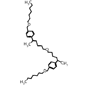 CCCCCCCOCc1ccc(C(C)CCCCOCCCCC(C)c2ccc(COCCCCCCC)cc2)cc1